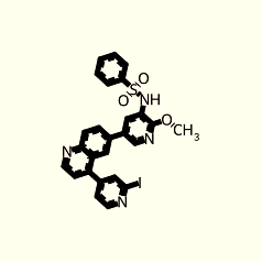 COc1ncc(-c2ccc3nccc(-c4ccnc(I)c4)c3c2)cc1NS(=O)(=O)c1ccccc1